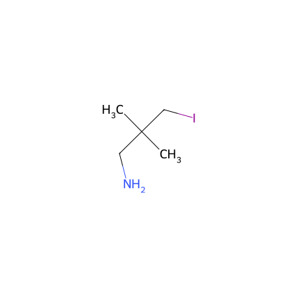 CC(C)(CN)CI